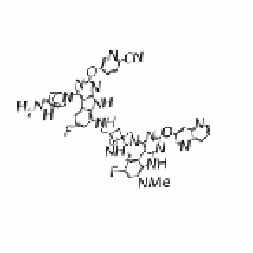 CNc1cc(F)cc2c1[nH]c1nc(Oc3cnc4cccnc4c3)nc(N3CC4(CC(CNc5cc(F)cc6c5[nH]c5nc(Oc7ccc(C#N)nc7)nc(N7C[C@H]8CC7C[C@H]8N)c56)[C@@H]4N)C3)c12